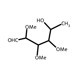 COC(C=O)C(OC)C(OC)C(C)O